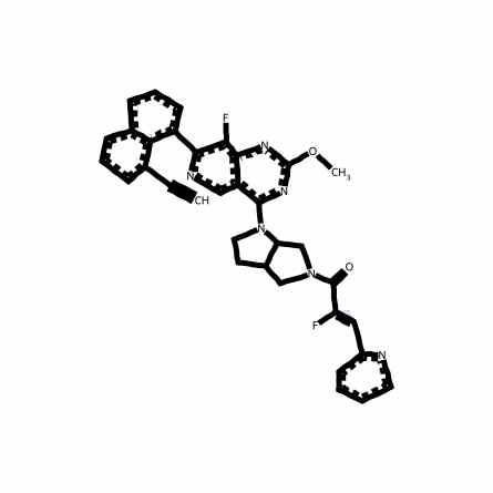 C#Cc1cccc2cccc(-c3ncc4c(N5CCC6CN(C(=O)/C(F)=C/c7ccccn7)CC65)nc(OC)nc4c3F)c12